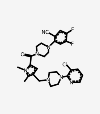 Cc1c(CN2CCN(c3ncccc3Cl)CC2)cc(C(=O)N2CCN(c3cc(F)c(F)cc3C#N)CC2)n1C